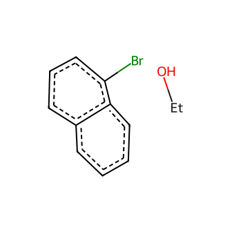 Brc1cccc2ccccc12.CCO